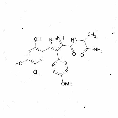 COc1ccc(-c2c(-c3cc(Cl)c(O)cc3O)n[nH]c2C(=O)N[C@H](C)C(N)=O)cc1